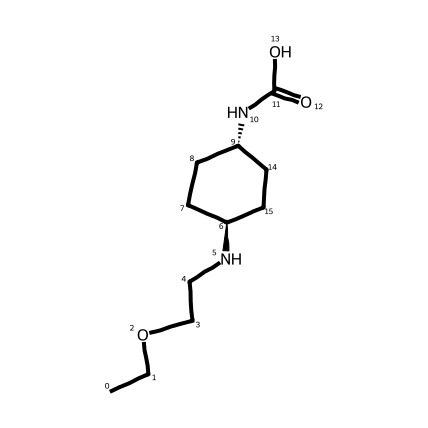 CCOCCN[C@H]1CC[C@H](NC(=O)O)CC1